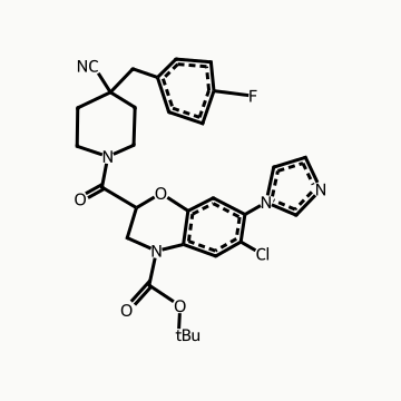 CC(C)(C)OC(=O)N1CC(C(=O)N2CCC(C#N)(Cc3ccc(F)cc3)CC2)Oc2cc(-n3ccnc3)c(Cl)cc21